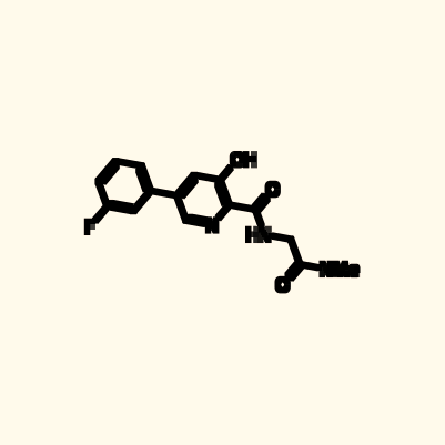 CNC(=O)CNC(=O)c1ncc(-c2cccc(F)c2)cc1O